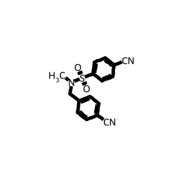 CN(Cc1ccc(C#N)cc1)S(=O)(=O)c1ccc(C#N)cc1